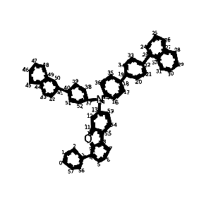 c1ccc(-c2cccc3c2oc2cc(N(c4ccc(-c5ccc(-c6cccc7ccccc67)cc5)cc4)c4ccc(-c5ccc6ccccc6c5)cc4)ccc23)cc1